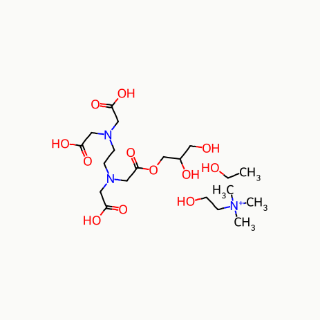 CCO.C[N+](C)(C)CCO.O=C(O)CN(CCN(CC(=O)O)CC(=O)OCC(O)CO)CC(=O)O